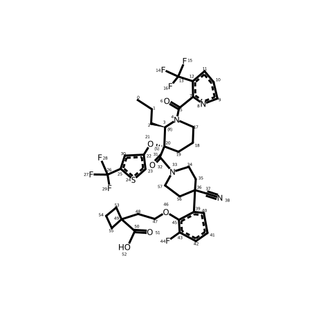 CCC[C@H]1N(C(=O)c2ncccc2C(F)(F)F)CCC[C@@]1(Oc1csc(C(F)(F)F)c1)C(=O)N1CCC(C#N)(c2cccc(F)c2OCCC2(C(=O)O)CCC2)CC1